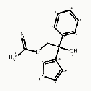 CC(=O)OCC(O)(c1ccccc1)c1ccsc1